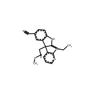 CCOc1ncccc1C1(CC(=O)OC)C(=O)Nc2ccc(C#N)cc21